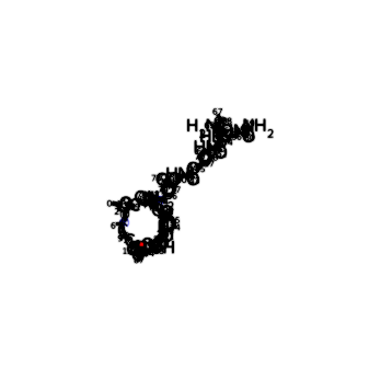 C=CC[C@@H]1/C=C(\C)C[C@H](C)C[C@H](OC)[C@H]2O[C@@](O)(C(=O)C(=O)N3CCCC[C@H]3C(=O)O[C@H](/C(C)=C/C3CC[C@@H](OCNC(=O)OCc4ccc(NC(=O)[C@H](CCCNC(N)=O)NC(=O)[C@@H](N)C(C)C)cc4)[C@H](OC)C3)[C@H](N)[C@@H](O)CC1=O)[C@H](C)C[C@@H]2OC